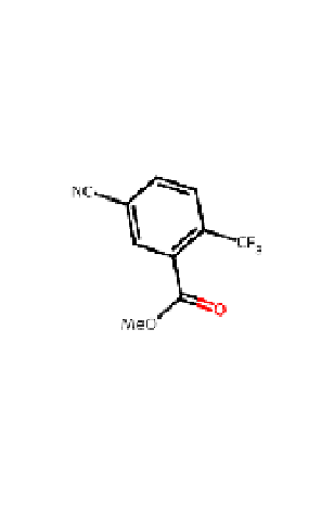 COC(=O)c1cc(C#N)ccc1C(F)(F)F